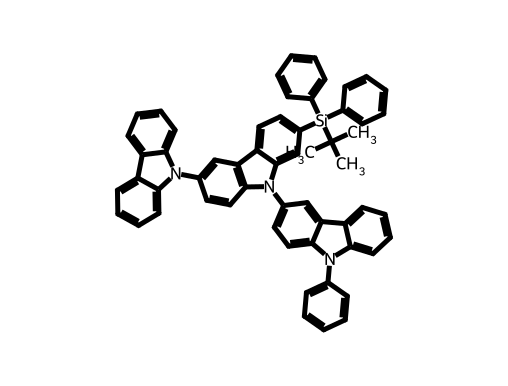 CC(C)(C)[Si](c1ccccc1)(c1ccccc1)c1ccc2c3cc(-n4c5ccccc5c5ccccc54)ccc3n(-c3ccc4c(c3)c3ccccc3n4-c3ccccc3)c2c1